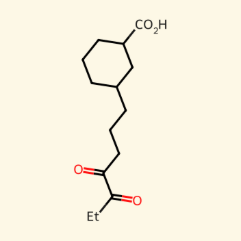 CCC(=O)C(=O)CCCC1CCCC(C(=O)O)C1